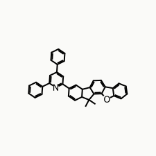 CC1(C)c2c(ccc3c2oc2ccccc23)C2C=C(c3cc(-c4ccccc4)cc(-c4ccccc4)n3)C=CC21